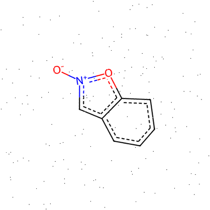 [O-][n+]1cc2ccccc2o1